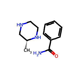 C[C@@H]1CNCCN1.NC(=O)c1ccccc1